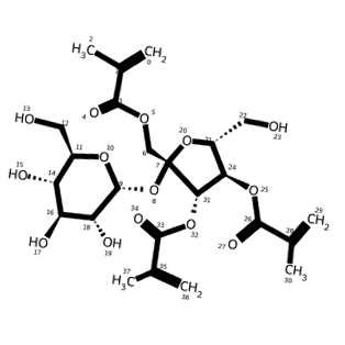 C=C(C)C(=O)OC[C@@]1(O[C@H]2O[C@H](CO)[C@@H](O)[C@H](O)[C@H]2O)O[C@H](CO)[C@@H](OC(=O)C(=C)C)[C@@H]1OC(=O)C(=C)C